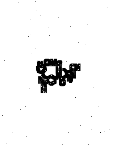 COc1cc(-c2n[nH]c3ccc(NC(=O)c4c(C)c(C#N)nn4C)cc23)ccn1